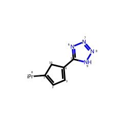 CC(C)C1=CC=C(c2nnn[nH]2)C1